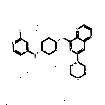 Fc1cc(N[C@H]2CC[C@@H](Oc3cc(N4CCOCC4)cc4nccnc34)CC2)ccn1